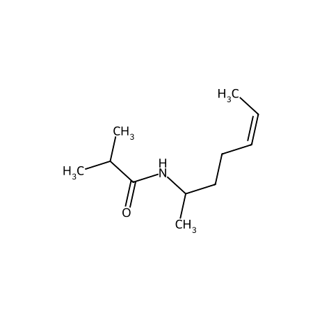 C/C=C\CCC(C)NC(=O)C(C)C